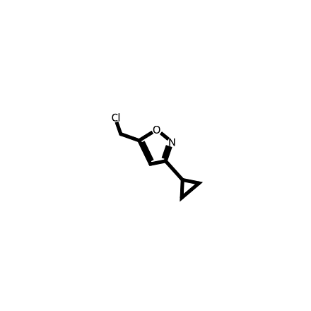 ClCc1cc(C2CC2)no1